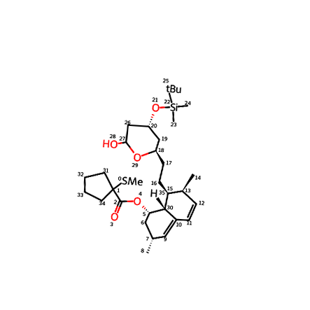 CSC1(C(=O)O[C@H]2C[C@@H](C)C=C3C=C[C@H](C)[C@H](CC[C@@H]4C[C@@H](O[Si](C)(C)C(C)(C)C)CC(O)O4)[C@H]32)CCCC1